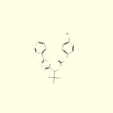 CC(C)(C)C(OC(=O)Oc1ccc([N+](=O)[O-])cc1)c1nnc(-c2cccnc2)o1